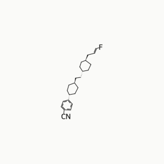 N#Cc1ccc([C@H]2CC[C@H](CC[C@H]3CC[C@H](CC=CF)CC3)CC2)cc1